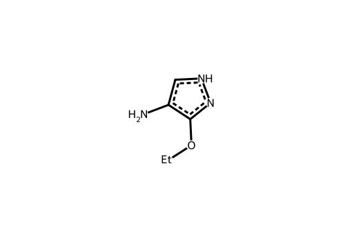 CCOc1n[nH]cc1N